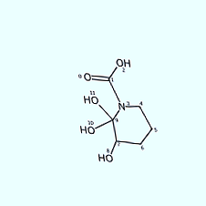 O=C(O)N1CCCC(O)C1(O)O